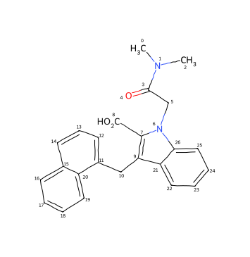 CN(C)C(=O)Cn1c(C(=O)O)c(Cc2cccc3ccccc23)c2ccccc21